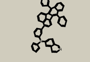 c1ccc(-c2c3c(c(-c4ccccc4)c4ccccc24)-c2ccc(-c4cccc(N(c5ccccc5)c5ccc6cnccc6c5)c4)c4cccc-3c24)cc1